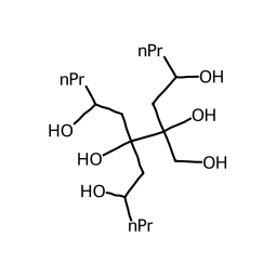 CCCC(O)CC(O)(CO)C(O)(CC(O)CCC)CC(O)CCC